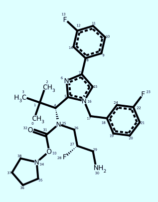 CC(C)(C)[C@H](c1nc(-c2cccc(F)c2)cn1Cc1cccc(F)c1)N(C[C@@H](F)CN)C(=O)ON1CCCC1